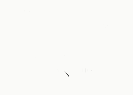 OCC1COc2ccccc2O1.OC[C@H]1COc2cc(Cl)ccc2O1